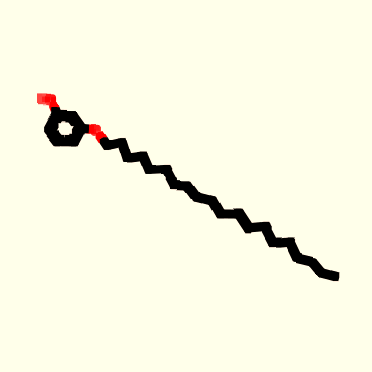 CCCCCCCCCCCCCCCCCCCCOc1cccc(O)c1